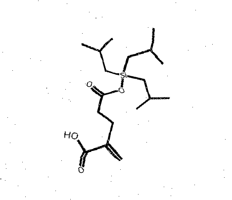 C=C(CCC(=O)O[Si](CC(C)C)(CC(C)C)CC(C)C)C(=O)O